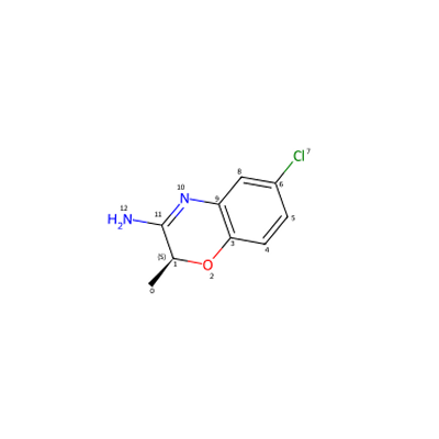 C[C@@H]1Oc2ccc(Cl)cc2N=C1N